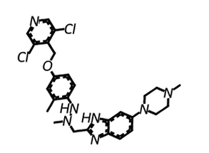 Cc1cc(OCc2c(Cl)cncc2Cl)ccc1NN(C)Cc1nc2ccc(N3CCN(C)CC3)cc2[nH]1